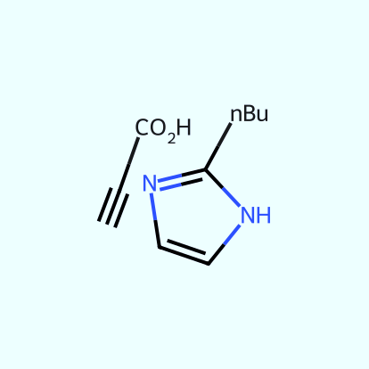 C#CC(=O)O.CCCCc1ncc[nH]1